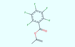 C=C(C)OC(=O)c1c(F)c(F)c(F)c(F)c1F